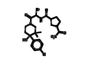 CC(C)C(NC(=O)C1CCN(C(N)=O)C1)C(=O)N1CCC(O)(c2ccc(Cl)cc2)C(C)(C)C1